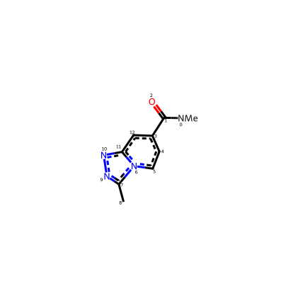 CNC(=O)c1ccn2c(C)nnc2c1